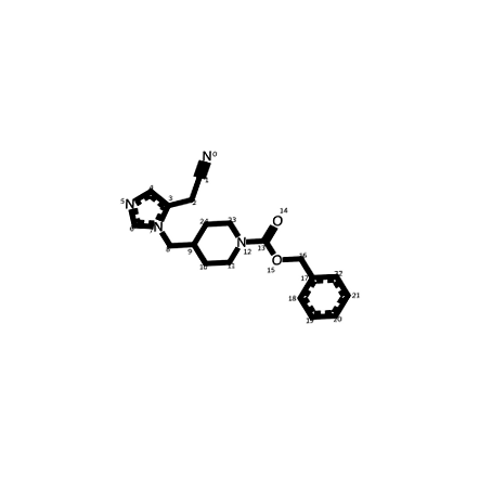 N#CCc1cncn1CC1CCN(C(=O)OCc2ccccc2)CC1